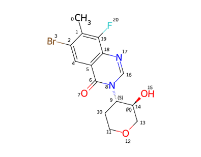 Cc1c(Br)cc2c(=O)n([C@H]3CCOC[C@@H]3O)cnc2c1F